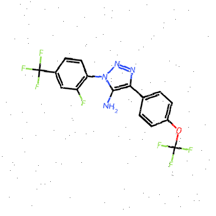 Nc1c(-c2ccc(OC(F)(F)F)cc2)nnn1-c1ccc(C(F)(F)F)cc1F